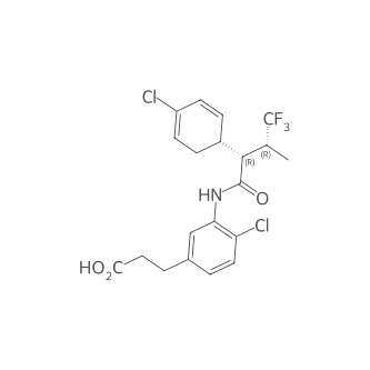 C[C@H]([C@H](C(=O)Nc1cc(CCC(=O)O)ccc1Cl)C1C=CC(Cl)=CC1)C(F)(F)F